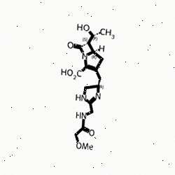 COCC(=O)NCC1=N[C@H](CC2=C(C(=O)O)N3C(=O)[C@H]([C@@H](C)O)[C@H]3C2)CN1